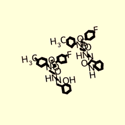 Cc1ccc(N(CC(=O)N/N=C/c2ccccc2O)S(=O)(=O)c2ccc(F)cc2)cc1.Cc1ccc(N(CC(=O)N/N=C2\C(=O)Nc3ccccc32)S(=O)(=O)c2ccc(F)cc2)cc1